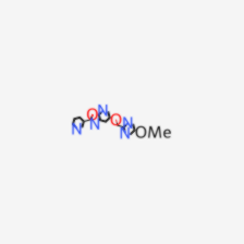 COc1cnc(COc2cnc3oc(-c4cccnc4)nc3c2)nc1